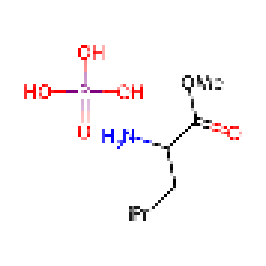 COC(=O)C(N)CC(C)C.O=P(O)(O)O